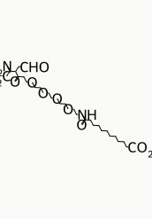 N[C@H](C(=O)O)C(C[C]=O)C(=O)CCOCCOCCOCCOCCNC(=O)CCCCCCCCCCC(=O)O